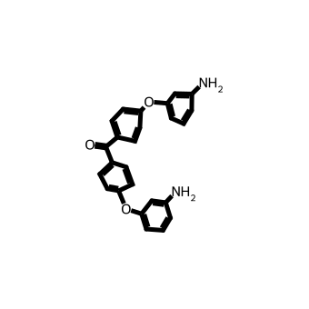 Nc1cccc(Oc2ccc(C(=O)c3ccc(Oc4cccc(N)c4)cc3)cc2)c1